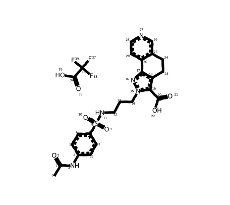 CC(=O)Nc1ccc(S(=O)(=O)NCCCn2nc3c(c2C(=O)O)CCc2cnccc2-3)cc1.O=C(O)C(F)(F)F